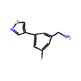 NCc1cc(F)cc(-c2cnsc2)c1